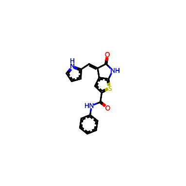 O=C1Nc2sc(C(=O)Nc3ccccc3)cc2/C1=C\c1ccc[nH]1